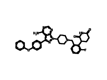 Nc1ncnc2c1c(-c1ccc(Oc3ccccc3)cc1)nn2C1CCN(Cc2cccc(F)c2C2CCC(=O)NC2=O)CC1